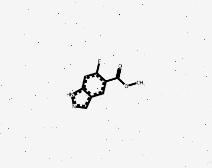 COC(=O)c1cc2cn[nH]c2cc1F